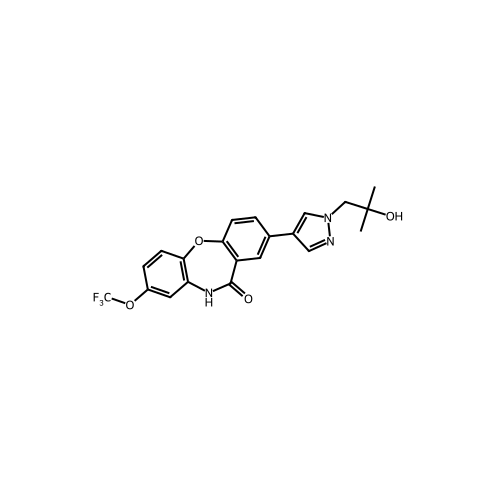 CC(C)(O)Cn1cc(-c2ccc3c(c2)C(=O)Nc2cc(OC(F)(F)F)ccc2O3)cn1